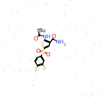 CC(C)(C)C(=O)Nc1sc(S(=O)(=O)c2ccc(F)c(F)c2)cc1C(N)=O